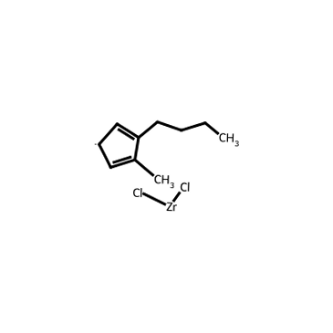 CCCCC1=C[CH]C=C1C.[Cl][Zr][Cl]